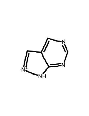 C1=[N+]Nc2ncncc21